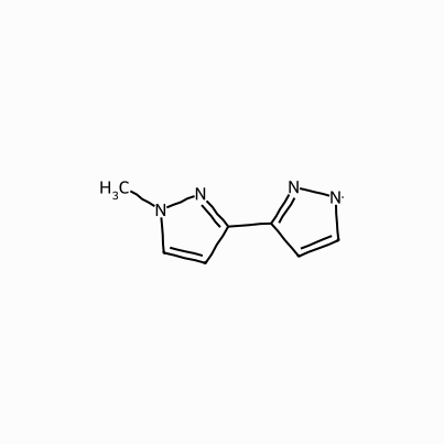 Cn1ccc(C2=N[N]C=C2)n1